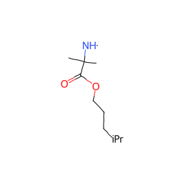 CC(C)CCCOC(=O)C(C)(C)[NH]